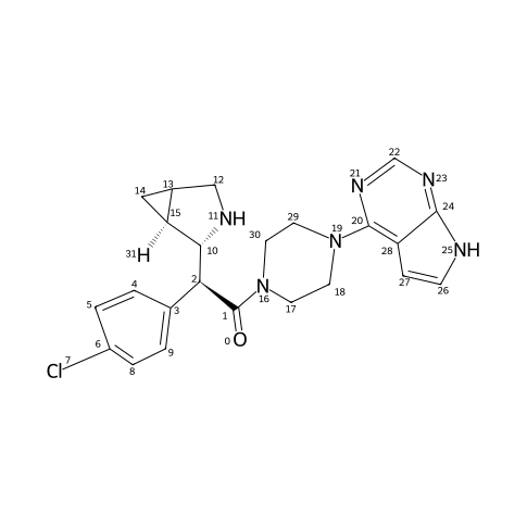 O=C([C@@H](c1ccc(Cl)cc1)[C@H]1NCC2C[C@@H]21)N1CCN(c2ncnc3[nH]ccc23)CC1